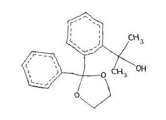 CC(C)(O)c1ccccc1C1(c2ccccc2)OCCO1